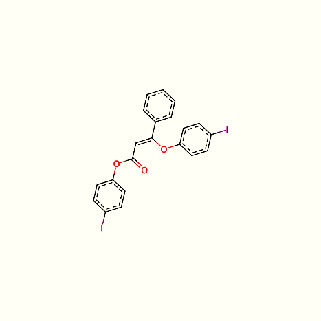 O=C(/C=C(\Oc1ccc(I)cc1)c1ccccc1)Oc1ccc(I)cc1